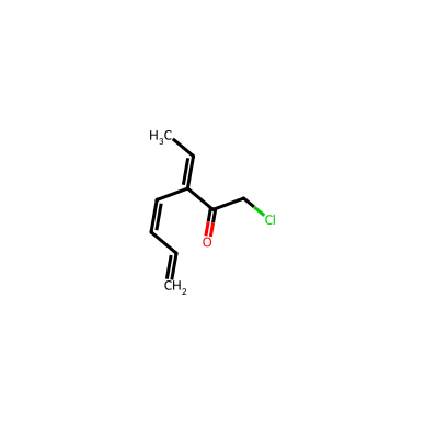 C=C/C=C\C(=C/C)C(=O)CCl